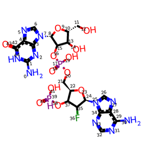 Nc1nc2c(ncn2[C@@H]2O[C@H](CO)C(O)C2OP(=O)(O)OC[C@H]2O[C@@H](n3cnc4c(N)ncnc43)C(F)C2O[PH](=O)O)c(=O)[nH]1